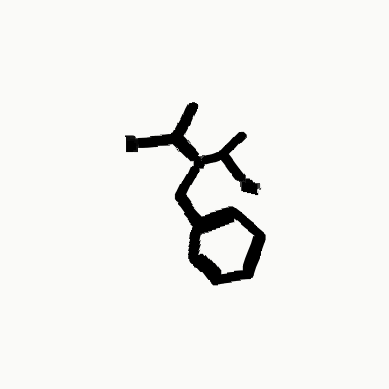 CC(Br)N(Cc1ccccc1)C(C)Br